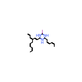 C=C/C=C(\C=C\C1NC(I)NC(C/C=C\C=C/C)N1)C/C=C\C=C/C